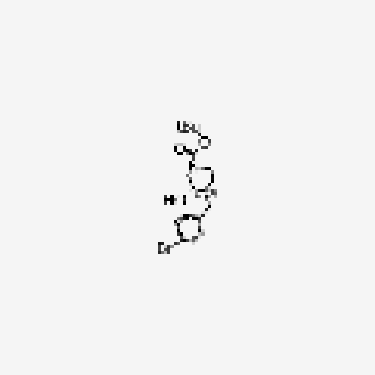 CC(C)(C)OC(=O)N1CC[C@@H](Cc2ccc(Br)cc2)[C@H](O)C1